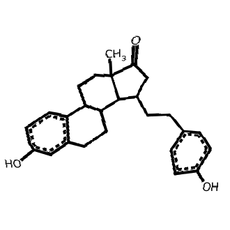 CC12CCC3c4ccc(O)cc4CCC3C1C(CCc1ccc(O)cc1)CC2=O